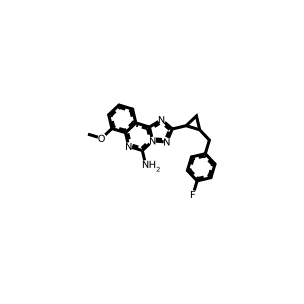 COc1cccc2c1nc(N)n1nc(C3CC3Cc3ccc(F)cc3)nc21